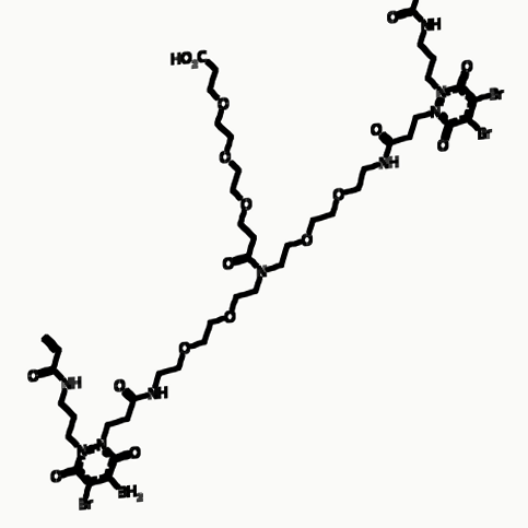 Bc1c(Br)c(=O)n(CCCNC(=O)C=C)n(CCC(=O)NCCOCCOCCN(CCOCCOCCNC(=O)CCn2c(=O)c(Br)c(Br)c(=O)n2CCCNC(=O)C=C)C(=O)CCOCCOCCOCCC(=O)O)c1=O